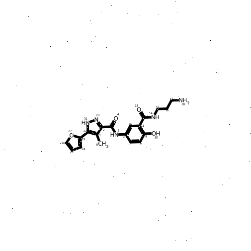 Cc1c(C(=O)Nc2ccc(O)c(C(=O)NCCCN)c2)n[nH]c1-c1ccco1